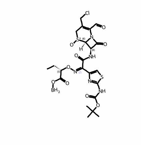 BOC(=O)[C@H](CC)O/N=C(\C(=O)N[C@@H]1C(=O)N2C(C=O)=C(CCl)C[S+]([O-])[C@H]12)c1csc(NC(=O)OC(C)(C)C)n1